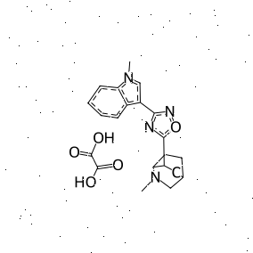 CN1CC2CCC1C(c1nc(-c3cn(C)c4ccccc34)no1)C2.O=C(O)C(=O)O